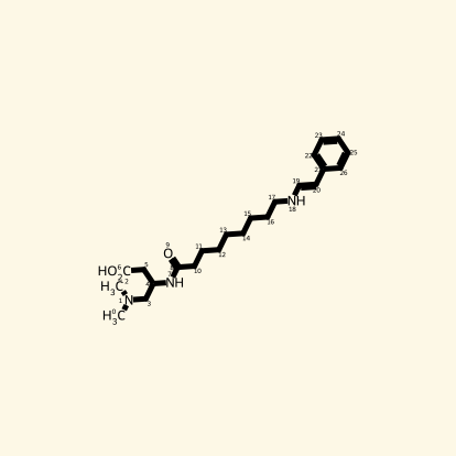 CN(C)CC(CC(=O)O)NC(=O)CCCCCCCCNC=Cc1ccccc1